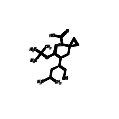 CC(C)C[C@H](CO)N(CC1(NC(=O)O)CC1)C(=O)OC(C)(C)C